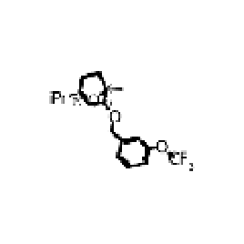 CC(C)[C@@]12CC[C@@](C)(O1)[C@@H](OCc1cccc(OC(F)(F)F)c1)C2